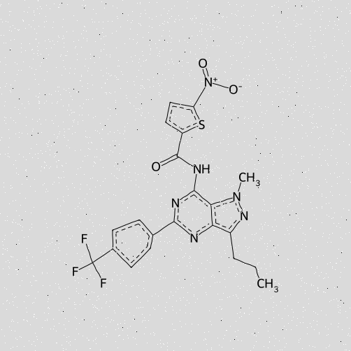 CCCc1nn(C)c2c(NC(=O)c3ccc([N+](=O)[O-])s3)nc(-c3ccc(C(F)(F)F)cc3)nc12